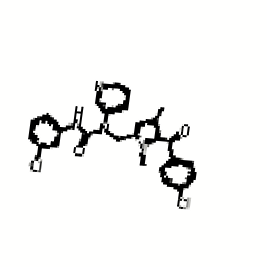 Cc1cc(CN(C(=O)Nc2cccc(Cl)c2)c2cccnc2)n(C)c1C(=O)c1ccc(Cl)cc1